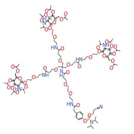 CC(=O)N[C@H]1[C@H](OCCOCCNC(=O)CCOCC(COCCC(=O)NCCOCCO[C@@H]2O[C@H](COC(C)=O)[C@H](OC(C)=O)[C@H](OC(C)=O)[C@H]2NC(C)=O)(COCCC(=O)NCCOCCO[C@@H]2O[C@H](COC(C)=O)[C@H](OC(C)=O)[C@H](OC(C)=O)[C@H]2NC(C)=O)NC(=O)CCOCCOCCNC(=O)Cc2ccc(OP(OCCC#N)N(C(C)C)C(C)C)cc2)O[C@H](COC(C)=O)[C@H](OC(C)=O)[C@@H]1OC(C)=O